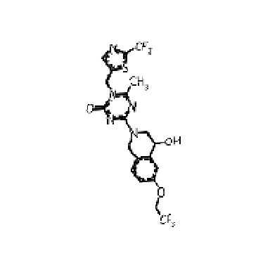 Cc1nc(N2Cc3ccc(OCC(F)(F)F)cc3C(O)C2)nc(=O)n1Cc1cnc(C(F)(F)F)s1